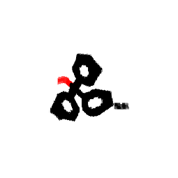 OC(c1ccccc1)(c1ccccc1)c1ccccc1.[NaH]